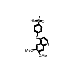 COc1cc2nccc(Oc3ccc([S@](C)(=N)=O)cc3)c2cc1OC